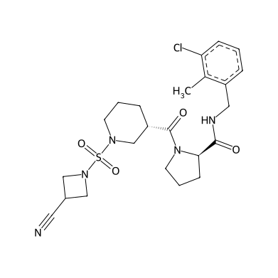 Cc1c(Cl)cccc1CNC(=O)[C@H]1CCCN1C(=O)[C@H]1CCCN(S(=O)(=O)N2CC(C#N)C2)C1